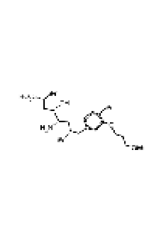 COCCCOc1cc(C[C@@H](C[C@H](N)[C@@H](O)C[C@H](C(=O)O)C(C)C)C(C)C)ccc1C(C)C